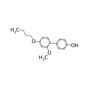 CCCCOc1ccc(-c2ccc(O)cc2)c(OC)c1